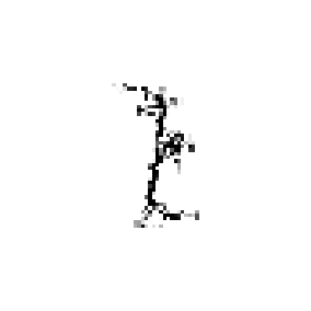 CCCCCCCCCCCOC(=O)C(O)(O)CCCCN(CCCCCCCC(=O)OC(CCCCCCCC)CCCCCCCC)C(O)(O)C(O)(O)O